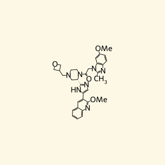 COc1ccc2nc(C)n(CC(=O)N3CCN(CC4COC4)C[C@H]3c3ncc(-c4cc5ccccc5nc4OC)[nH]3)c2c1